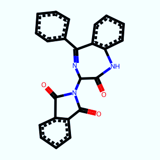 O=C1Nc2ccccc2C(c2ccccc2)=NC1N1C(=O)c2ccccc2C1=O